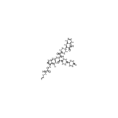 C=CCCNC(=O)OCn1ncc2cc(C[C@@H](NC(=O)N3CCC(c4cc5ccccc5[nH]c4=O)CC3)C(=O)N3CCN(C4CCN(C)CC4)CC3)cc(C)c21